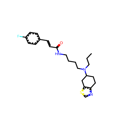 CCCN(CCCCNC(=O)C=Cc1ccc(F)cc1)C1CCc2ncsc2C1